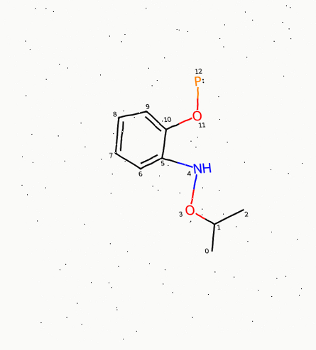 CC(C)ONc1ccccc1O[P]